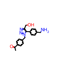 CC(=O)c1ccc(Cn2nnc(CO)c2-c2ccc(CN)cc2)cc1